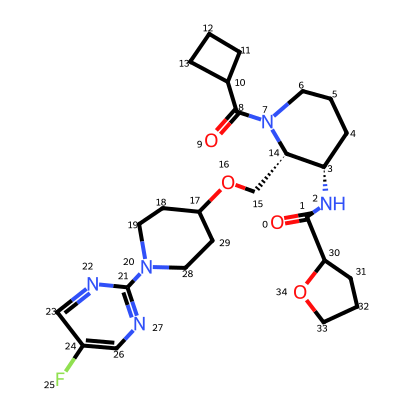 O=C(N[C@H]1CCCN(C(=O)C2CCC2)[C@H]1COC1CCN(c2ncc(F)cn2)CC1)C1CCCO1